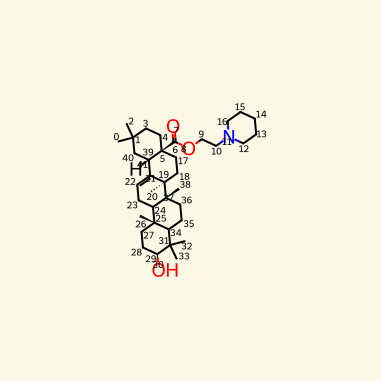 CC1(C)CC[C@]2(C(=O)OCCN3CCCCC3)CC[C@]3(C)C(=CCC4[C@@]5(C)CC[C@H](O)C(C)(C)C5CC[C@]43C)[C@@H]2C1